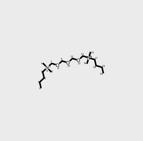 CCCC[N+](C)(C)COCOCOC[N+](C)(C)CCCC